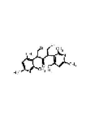 Cc1cc(C)c(C(CBr)C(=O)C(CBr)c2c(C)cc(C)nc2C)c(C)n1